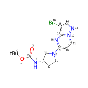 CC(C)(C)OC(=O)N[C@H]1CCN(c2ccn3ncc(Br)c3n2)C1